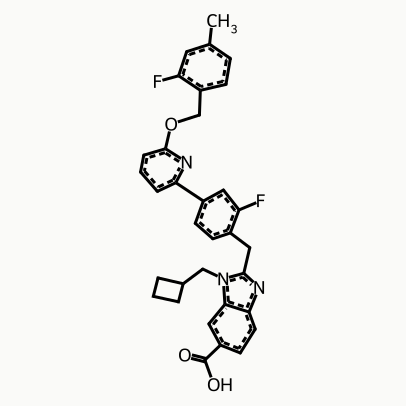 Cc1ccc(COc2cccc(-c3ccc(Cc4nc5ccc(C(=O)O)cc5n4CC4CCC4)c(F)c3)n2)c(F)c1